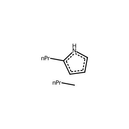 CCCC.CCCc1ccc[nH]1